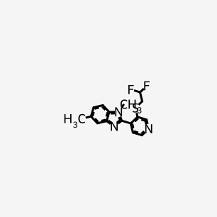 Cc1ccc2c(c1)nc(-c1ccncc1SCC(F)F)n2C